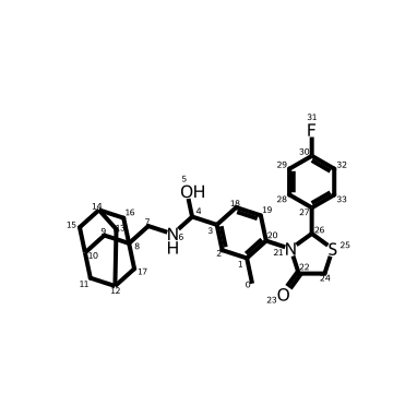 Cc1cc(C(O)NCC23CC4CC(CC(C4)C2)C3)ccc1N1C(=O)CSC1c1ccc(F)cc1